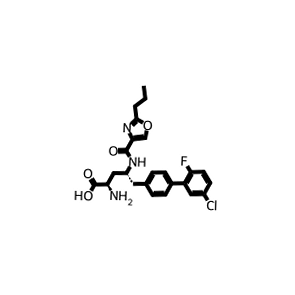 CCCc1nc(C(=O)N[C@H](Cc2ccc(-c3cc(Cl)ccc3F)cc2)C[C@@H](N)C(=O)O)co1